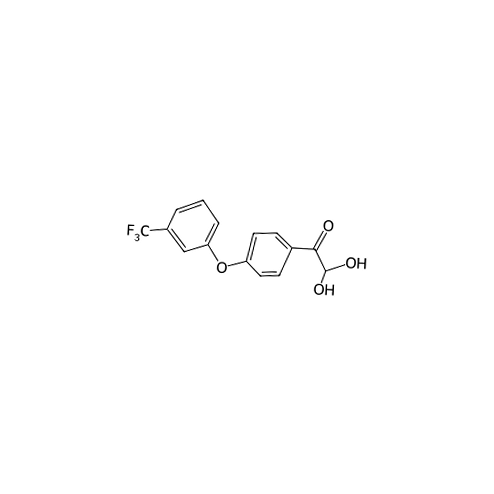 O=C(c1ccc(Oc2cccc(C(F)(F)F)c2)cc1)C(O)O